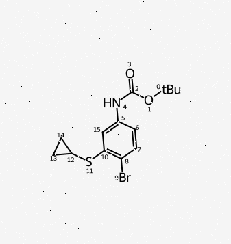 CC(C)(C)OC(=O)Nc1ccc(Br)c(SC2CC2)c1